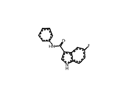 O=C(Nc1ccccc1)c1c[nH]c2ccc(F)cc12